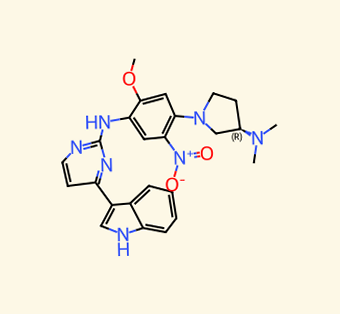 COc1cc(N2CC[C@@H](N(C)C)C2)c([N+](=O)[O-])cc1Nc1nccc(-c2c[nH]c3ccccc23)n1